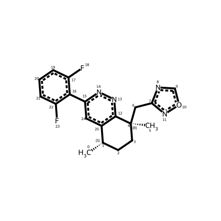 C[C@H]1CC[C@](C)(Cc2ncon2)c2nnc(-c3c(F)cccc3F)cc21